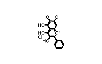 Oc1cc2[o+]c(-c3ccccc3)c(O)c(O)c2c(O)c1O.[Cl-]